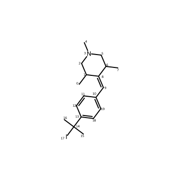 CC1CN(C)CC(C)C1=Cc1ccc(C(C)(C)I)cc1